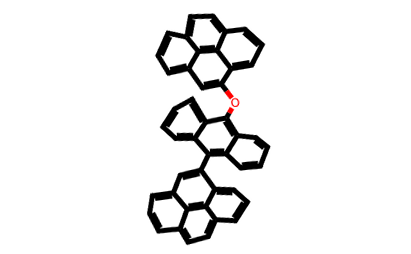 c1cc2ccc3cccc4c(Oc5c6ccccc6c(-c6cc7cccc8ccc9cccc6c9c87)c6ccccc56)cc(c1)c2c34